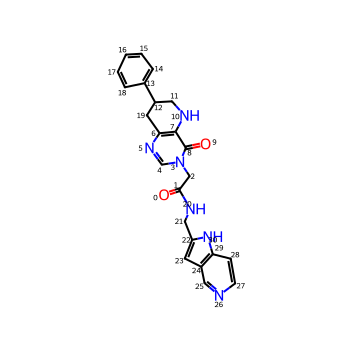 O=C(Cn1cnc2c(c1=O)NCC(c1ccccc1)C2)NCc1cc2cnccc2[nH]1